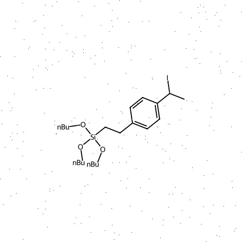 CCCCO[Si](CCc1ccc(C(C)I)cc1)(OCCCC)OCCCC